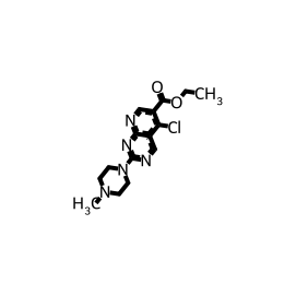 CCOC(=O)c1cnc2nc(N3CCN(C)CC3)ncc2c1Cl